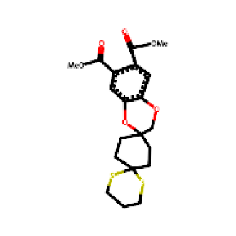 COC(=O)c1cc2c(cc1C(=O)OC)OC1(CCC3(CC1)SCCCS3)CO2